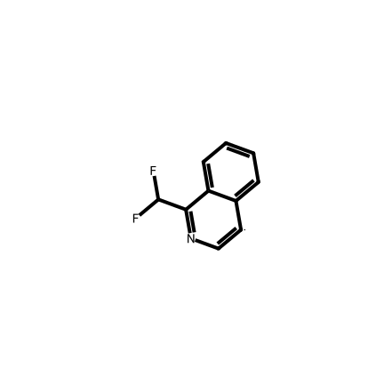 FC(F)c1nc[c]c2ccccc12